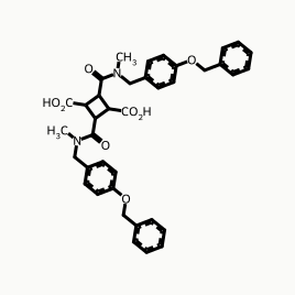 CN(Cc1ccc(OCc2ccccc2)cc1)C(=O)C1C(C(=O)O)C(C(=O)N(C)Cc2ccc(OCc3ccccc3)cc2)C1C(=O)O